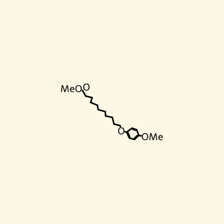 COC(=O)CCCCCCCCCCOc1ccc(OC)cc1